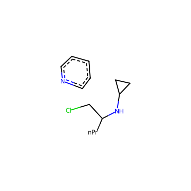 CCCC(CCl)NC1CC1.c1ccncc1